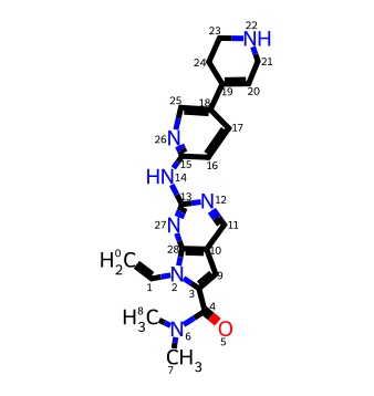 C=Cn1c(C(=O)N(C)C)cc2cnc(Nc3ccc(C4=CCNCC4)cn3)nc21